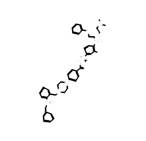 Cc1cc(S(=O)(=O)NC(=O)c2ccc(N3CCN(Cc4ccccc4NCc4ccccc4)CC3)cc2)ccc1N[C@H](CCN(C)C)CSc1ccccc1